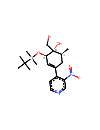 C[C@H]1CC(c2ccncc2[N+](=O)[O-])=C[C@@H](O[Si](C)(C)C(C)(C)C)[C@@]1(O)CBr